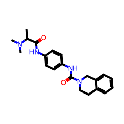 CC(C(=O)Nc1ccc(NC(=O)N2CCc3ccccc3C2)cc1)N(C)C